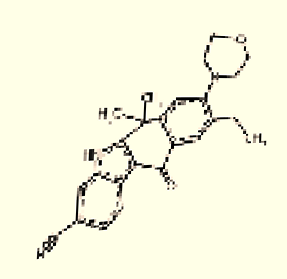 CCc1cc2c(cc1N1CCOCC1)C(C)(C)c1[nH]c3cc(C#N)ccc3c1C2=O